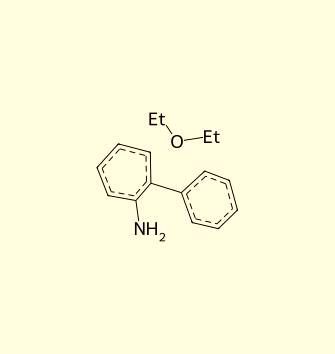 CCOCC.Nc1ccccc1-c1ccccc1